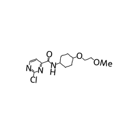 COCCOC1CCC(NC(=O)c2ccnc(Cl)n2)CC1